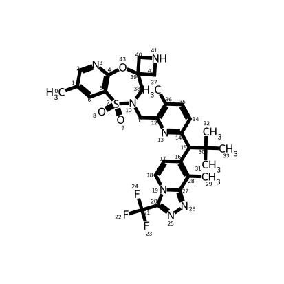 Cc1cnc2c(c1)S(=O)(=O)N(Cc1nc(C(c3ccn4c(C(F)(F)F)nnc4c3C)C(C)(C)C)ccc1C)CC1(CNC1)O2